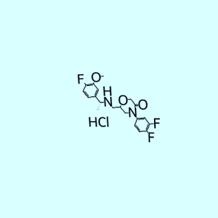 COc1cc([C@@H](C)NCC2CN(c3ccc(F)c(F)c3)C(=O)CO2)ccc1F.Cl